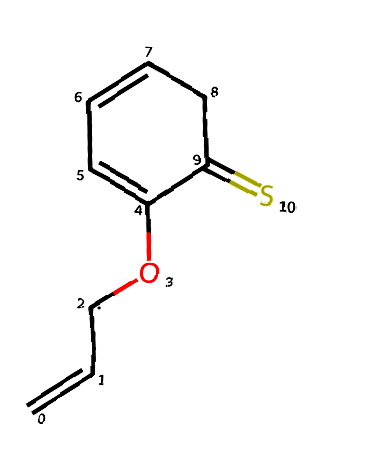 C=C[CH]OC1=CC=CCC1=S